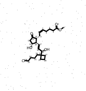 COC(=O)CCC/C=C\C[C@H]1C(=O)C[C@@H](O)[C@@H]1/C=C/[C@@H](O)C1(CCCCCl)CCC1